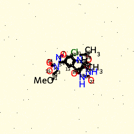 COC[C@H]1CN(c2noc3c(Cl)c4c(cc23)CC2(C(=O)NC(=O)NC2=O)[C@H]2[C@H](C)O[C@H](C)CN42)C(=O)O1